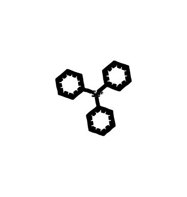 c1ccc([Se+](c2ccccc2)c2ccccc2)cc1